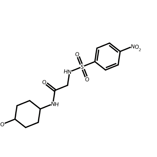 O=C(CNS(=O)(=O)c1ccc([N+](=O)[O-])cc1)NC1CCC(O)CC1